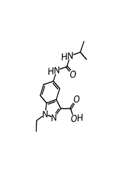 CCn1nc(C(=O)O)c2cc(NC(=O)NC(C)C)ccc21